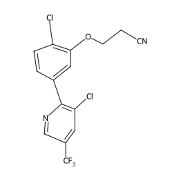 N#CCCOc1cc(-c2ncc(C(F)(F)F)cc2Cl)ccc1Cl